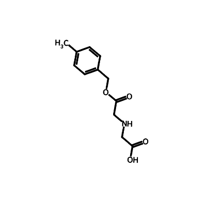 Cc1ccc(COC(=O)CNCC(=O)O)cc1